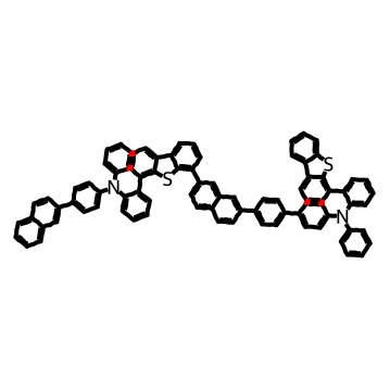 c1ccc(N(c2ccc(-c3ccc(-c4ccc5ccc(-c6cccc7c6sc6c(-c8ccccc8N(c8ccccc8)c8ccc(-c9ccc%10ccccc%10c9)cc8)cccc67)cc5c4)cc3)cc2)c2ccccc2-c2cccc3c2sc2ccccc23)cc1